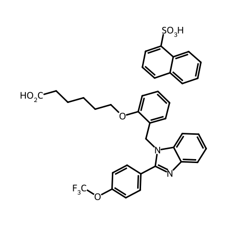 O=C(O)CCCCCOc1ccccc1Cn1c(-c2ccc(OC(F)(F)F)cc2)nc2ccccc21.O=S(=O)(O)c1cccc2ccccc12